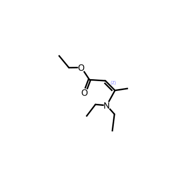 CCOC(=O)/C=C(/C)N(CC)CC